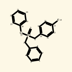 C=P(Cc1ccccc1)(Cc1ccc(F)cc1)Oc1ccccc1